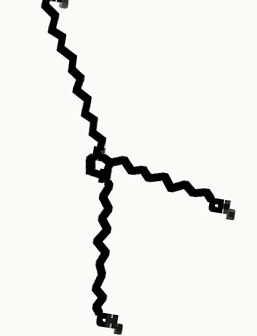 CCCCCCCCCCCCCCCN1C=CN(CCCCCCCCCCCCC)C1CCCCCCCCCC